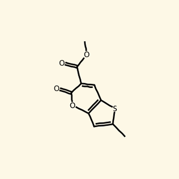 COC(=O)c1cc2sc(C)cc2oc1=O